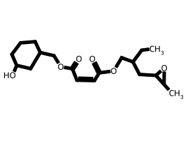 CCC(COC(=O)/C=C\C(=O)OCC1CCCC(O)C1)CC1OC1C